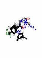 Cc1cc(C)cc(N2C(=O)/C(=C\N(C=O)NSN)c3ccc(C(F)(F)F)cc32)c1